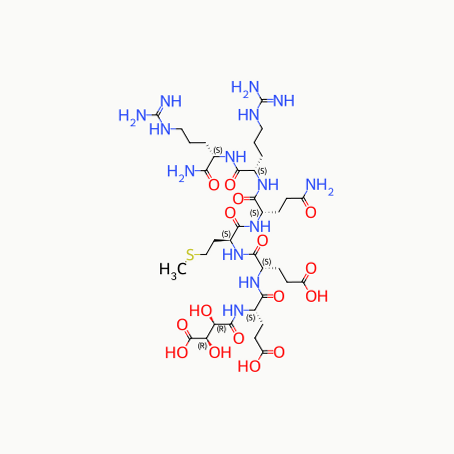 CSCC[C@H](NC(=O)[C@H](CCC(=O)O)NC(=O)[C@H](CCC(=O)O)NC(=O)[C@H](O)[C@@H](O)C(=O)O)C(=O)N[C@@H](CCC(N)=O)C(=O)N[C@@H](CCCNC(=N)N)C(=O)N[C@@H](CCCNC(=N)N)C(N)=O